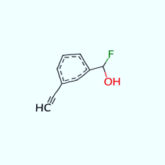 C#Cc1cccc(C(O)F)c1